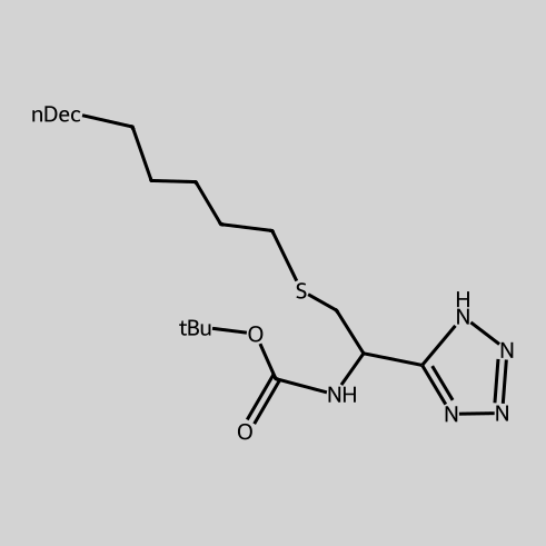 CCCCCCCCCCCCCCCSCC(NC(=O)OC(C)(C)C)c1nnn[nH]1